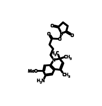 COc1cc2c(cc1N)C(C)=CC(C)(C)N2CCCC(=O)ON1C(=O)CCC1=O